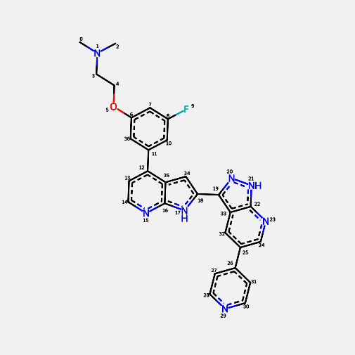 CN(C)CCOc1cc(F)cc(-c2ccnc3[nH]c(-c4n[nH]c5ncc(-c6ccncc6)cc45)cc23)c1